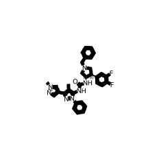 Cc1c(-c2cnn(C)c2)nn(-c2ccccc2)c1NC(=O)N[C@@H]1CN(Cc2ccccc2)C[C@H]1c1ccc(F)c(F)c1